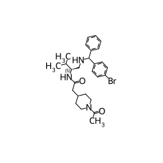 CC(=O)N1CCC(CC(=O)N[C@H](CNC(c2ccccc2)c2ccc(Br)cc2)C(C)C)CC1